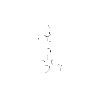 Cc1ccc(C(=O)NC2CCC(n3c(=O)c4cc(F)cnc4n(C4CCSC4)c3=O)CC2)c(O)c1